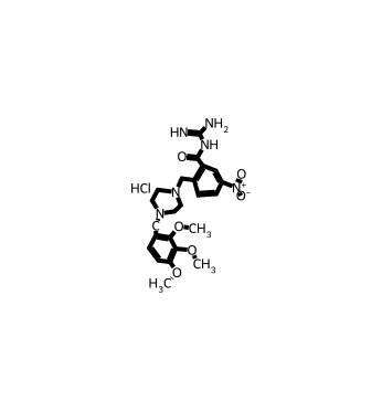 COc1ccc(CN2CCN(Cc3ccc([N+](=O)[O-])cc3C(=O)NC(=N)N)CC2)c(OC)c1OC.Cl